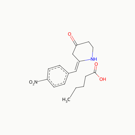 CCCCC(=O)O.O=C1CCNC(=Cc2ccc([N+](=O)[O-])cc2)C1